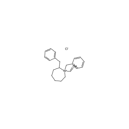 C=C[N+]1(Cc2ccccc2)CCCCCC1Cc1ccccc1.[Cl-]